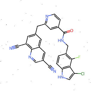 N#Cc1cnc2c(C#N)cc(Cc3cc(C(=O)NCc4ccc5[nH]cc(Cl)c5c4F)ccn3)cc2c1